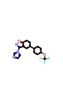 FC(F)(F)Oc1ccc(-c2ccc3onc(-n4ccnc4)c3c2)cc1